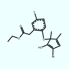 CCOC(=O)Cc1cc(F)ccc1OC1(C)C(C)=CC(Br)=C1O